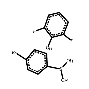 OB(O)c1ccc(Br)cc1.Oc1c(F)cccc1F